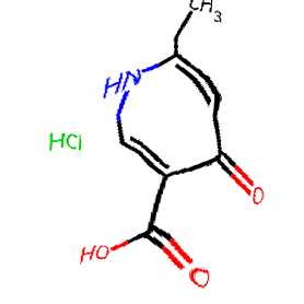 Cc1cc(=O)c(C(=O)O)c[nH]1.Cl